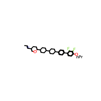 C/C=C/C1CCC(C2CCC(C3CCC(c4ccc(-c5ccc(OCCC)c(F)c5F)cc4)CC3)CC2)OC1